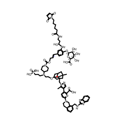 Cc1c(-c2ccc(N3CCc4cccc(CNc5nc6ccccc6s5)c4C3)nc2C(=O)O)cnn1CC12CC3CC(C)(C1)CC(OCCN(CCCP(=O)(O)O)C1CCN(C(=O)OC/C=C/c4ccc(O[C@@H]5O[C@H](C(=O)O)[C@@H](O)[C@H](O)[C@H]5O)c(NC(O)CCNC(=O)CCCCCN5C(=O)C=CC5=O)c4)CC1)(C3)C2